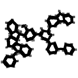 N#Cc1cc(-c2nc(-c3cccc(-c4ccccc4)c3)nc(-c3ccc4sc5ccccc5c4c3)n2)ccc1-n1c2ccccc2c2ccc3c(c4ccccc4n3-c3ccccc3)c21